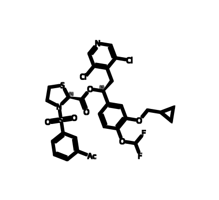 CC(=O)c1cccc(S(=O)(=O)N2CCS[C@H]2C(=O)O[C@@H](Cc2c(Cl)cncc2Cl)c2ccc(OC(F)F)c(OCC3CC3)c2)c1